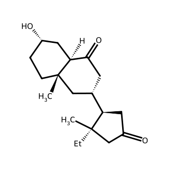 CC[C@@]1(C)CC(=O)C[C@@H]1[C@H]1CC(=O)[C@@H]2C[C@@H](O)CC[C@@]2(C)C1